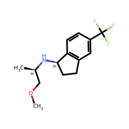 COC[C@@H](C)N[C@@H]1CCc2cc(C(F)(F)F)ccc21